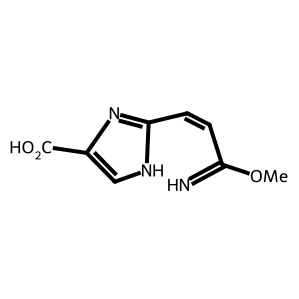 COC(=N)/C=C\c1nc(C(=O)O)c[nH]1